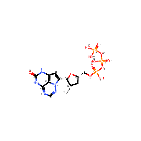 C[C@H]1C[C@@H](COP(=O)(O)OP(=O)(O)OP(=O)(O)O)O[C@H]1c1cc2c3c(ncnn13)NC(=O)N2